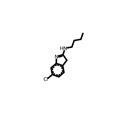 CCCCNC1=Nc2cc(Cl)ccc2C1